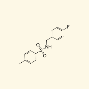 Cc1ccc(S(=O)(=O)NCc2ccc(F)cc2)cc1